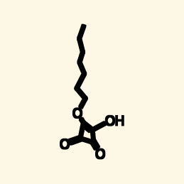 CCCCCCCOc1c(O)c(=O)c1=O